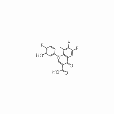 Cc1c(F)c(F)cc2c(=O)c(C(=O)O)cn(-c3ccc(F)c(O)c3)c12